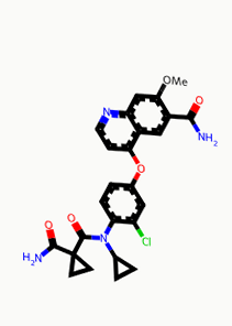 COc1cc2nccc(Oc3ccc(N(C(=O)C4(C(N)=O)CC4)C4CC4)c(Cl)c3)c2cc1C(N)=O